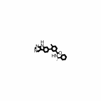 Cc1ccc(C(=O)N[C@@H](C)c2ccccc2)cc1-c1ccc2c(c1)[nH]c1ncncc12